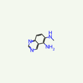 CNc1ccc2ncncc2c1N